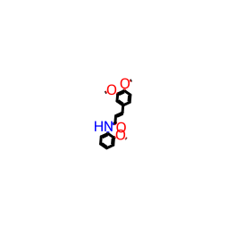 COc1ccccc1NC(=O)C=Cc1ccc(OC)c(OC)c1